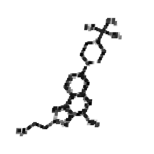 CCCc1nc2c(N)nc3cc(N4CCN(C(C)(C)C)CC4)ccc3c2o1